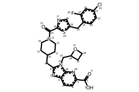 O=C(O)c1ccc2nc(CC3CCN(C(=O)c4ncc(Cc5ccc(Cl)cc5F)s4)CC3)n(CC3CCO3)c2n1